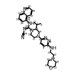 CC(C)C1CN(c2ccc(NCCN3CCOCC3)nn2)CCN1/C(=N\C#N)Nc1cccc2ncccc12